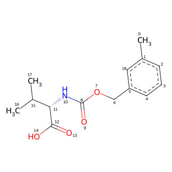 Cc1cccc(COC(=O)N[C@H](C(=O)O)C(C)C)c1